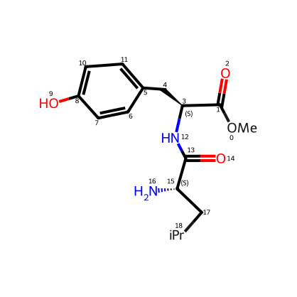 COC(=O)[C@H](Cc1ccc(O)cc1)NC(=O)[C@@H](N)CC(C)C